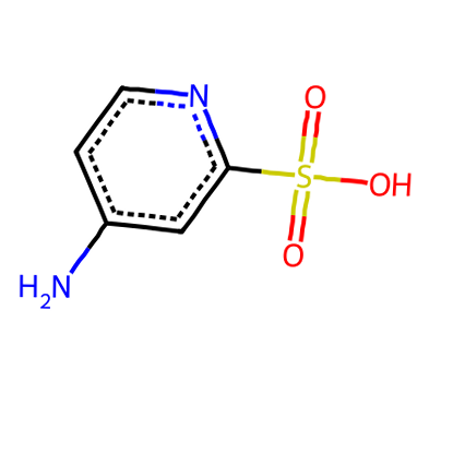 Nc1ccnc(S(=O)(=O)O)c1